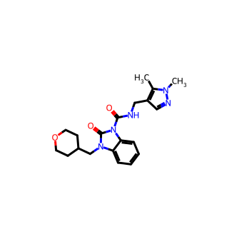 Cc1c(CNC(=O)n2c(=O)n(CC3CCOCC3)c3ccccc32)cnn1C